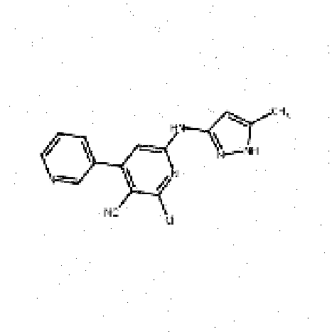 Cc1cc(Nc2cc(-c3cccnc3)c(C#N)c(Cl)n2)n[nH]1